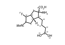 CNC1C[C@@H]2C(CC(N)(C(=O)O)C2CCCB(O)O)C1F